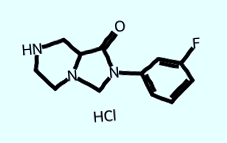 Cl.O=C1C2CNCCN2CN1c1cccc(F)c1